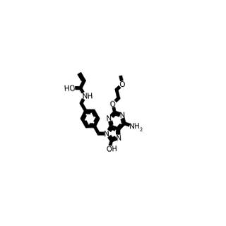 C=CC(O)NCc1ccc(Cn2c(O)nc3c(N)nc(OCCOC)nc32)cc1